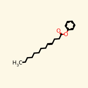 CCCCCCCCC=CCCC(=O)Oc1ccccc1